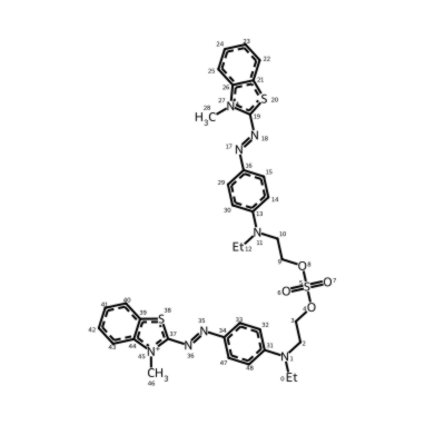 CCN(CCOS(=O)(=O)OCCN(CC)c1ccc(/N=N/c2sc3ccccc3[n+]2C)cc1)c1ccc(/N=N/c2sc3ccccc3[n+]2C)cc1